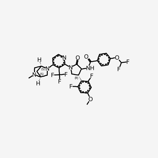 COc1cc(F)c([C@@H]2CN(c3nccc(N4C[C@@H]5C[C@H]4CN5C)c3C(F)(F)F)C(=O)C2NC(=O)c2ccc(OC(F)F)cc2)c(F)c1